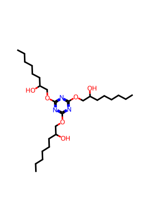 CCCCCCC(O)COc1nc(OCC(O)CCCCCC)nc(OCC(O)CCCCCC)n1